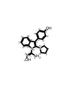 N/C(=N\O)n1c(N2CCCC2)c(-c2ccc(O)cc2)c2ccccc21